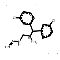 C[C@@H](CNN=N)C(c1cccc(Cl)c1)c1cccc(Cl)c1